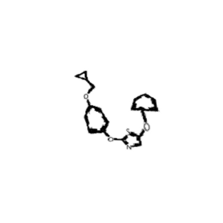 [c]1ccc(Oc2cnc(Oc3ccc(OCC4CC4)cc3)s2)cc1